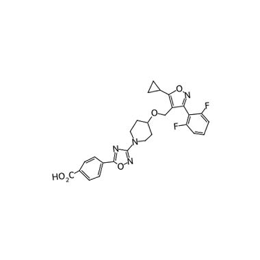 O=C(O)c1ccc(-c2nc(N3CCC(OCc4c(-c5c(F)cccc5F)noc4C4CC4)CC3)no2)cc1